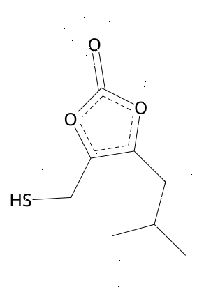 CC(C)Cc1oc(=O)oc1CS